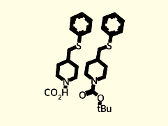 CC(C)(C)OC(=O)N1CCC(CSc2ccccc2)CC1.O=C(O)N1CCC(CSc2ccccc2)CC1